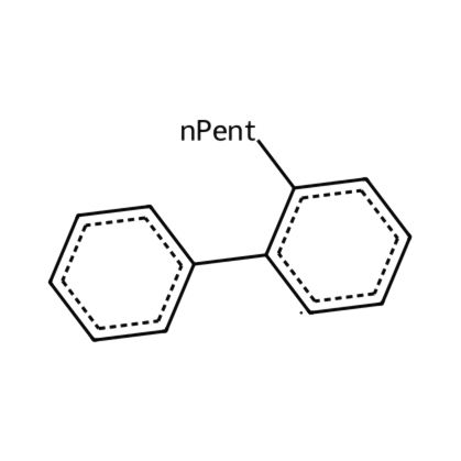 CCCCCc1ccc[c]c1-c1ccccc1